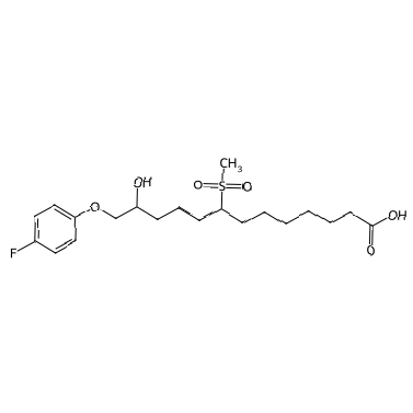 CS(=O)(=O)C(CCCCCCC(=O)O)CCCC(O)COc1ccc(F)cc1